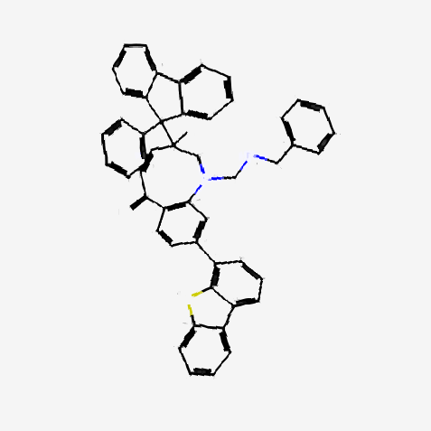 C=C1/C=C\C(C)(C2(c3ccccc3)c3ccccc3-c3ccccc32)CN(CNCc2ccccc2)c2cc(-c3cccc4c3sc3ccccc34)ccc21